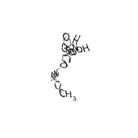 Cc1ccc(-c2nnn(CCCOc3ccc(S(=O)(=O)C4(C(=O)NO)CCOCC4)cc3)n2)cc1